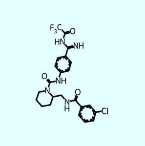 N=C(NC(=O)C(F)(F)F)c1ccc(NC(=O)N2CCCCC2CNC(=O)c2cccc(Cl)c2)cc1